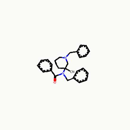 N#CC1(N(Cc2ccccc2)C(=O)c2ccccc2)CCCN(Cc2ccccc2)C1